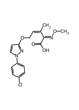 CO/N=C(C(=O)O)\C(C)=C/COc1ccn(-c2ccc(Cl)cc2)n1